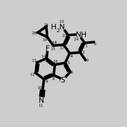 CC1=C(C)C(c2csc3c(C#N)ccc(F)c23)C(CC2CC2)=C(N)N1